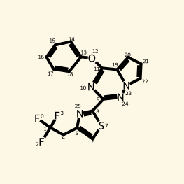 FC(F)(F)Cc1csc(-c2nc(Oc3ccccc3)c3cccn3n2)n1